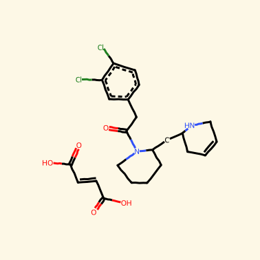 O=C(Cc1ccc(Cl)c(Cl)c1)N1CCCCC1CC1CC=CCN1.O=C(O)C=CC(=O)O